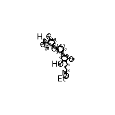 CCON=CCCC1=C(O)CC(c2cccc(OC3=CC=C(C)C(=S=O)C3F)c2)CC1=O